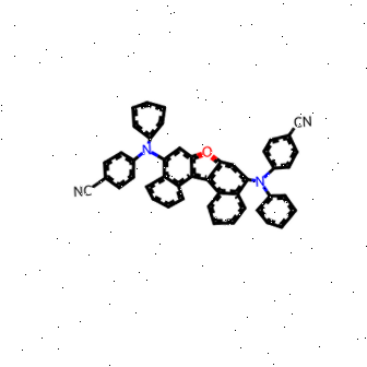 N#Cc1ccc(N(c2ccccc2)c2cc3oc4cc(N(c5ccccc5)c5ccc(C#N)cc5)c5ccccc5c4c3c3ccccc23)cc1